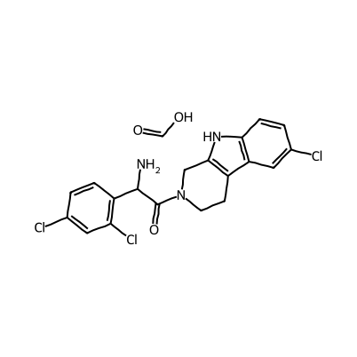 NC(C(=O)N1CCc2c([nH]c3ccc(Cl)cc23)C1)c1ccc(Cl)cc1Cl.O=CO